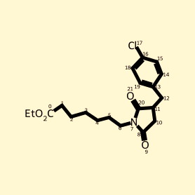 CCOC(=O)CCCCCCN1C(=O)CC(Cc2ccc(Cl)cc2)C1=O